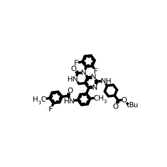 Cc1ccc(C(=O)Nc2ccc(C)c(-c3nc(NC4CCC(C(=O)OC(C)(C)C)CC4)nc4c3CNC(=O)N4c3c(F)cccc3F)c2)cc1F